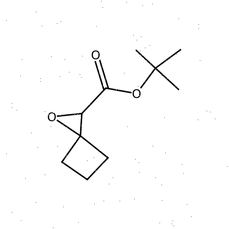 CC(C)(C)OC(=O)C1OC12CCC2